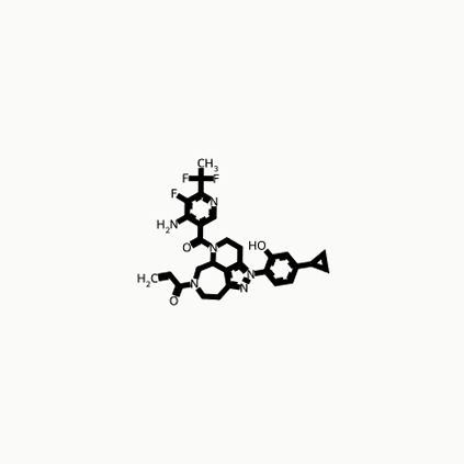 C=CC(=O)N1CCc2nn(-c3ccc(C4CC4)cc3O)c3c2C(C1)N(C(=O)c1cnc(C(C)(F)F)c(F)c1N)CC3